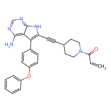 C=CC(=O)N1CCC(C#Cc2[nH]c3ncnc(N)c3c2-c2ccc(Oc3ccccc3)cc2)CC1